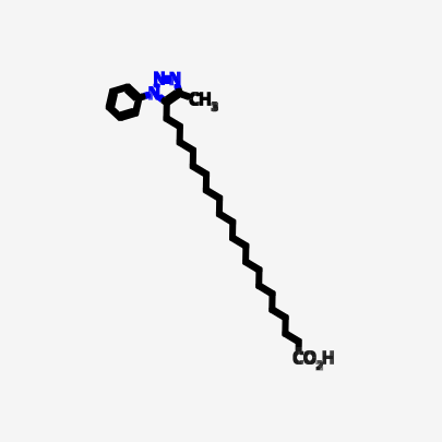 Cc1nnn(-c2ccccc2)c1CCCCCCCCCCCCCCCCCCCCC(=O)O